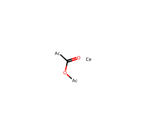 CC(=O)OC(=O)C(C)=O.[Ce]